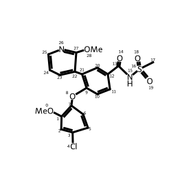 COc1cc(Cl)ccc1Oc1ccc(C(=O)NS(C)(=O)=O)cc1-c1cccnc1OC